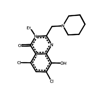 CCn1c(CN2CCCCC2)nc2c(O)c(Cl)cc(Cl)c2c1=O